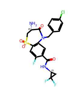 N[C@H]1CS(=O)(=O)c2cc(F)c(C(=O)N[C@H]3CC3(F)F)cc2N(Cc2ccc(Cl)cc2)C1=O